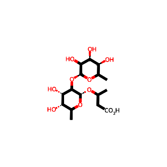 CC(CC(=O)O)O[C@@H]1OC(C)[C@H](O)[C@H](O)C1O[C@@H]1OC(C)[C@H](O)[C@H](O)C1O